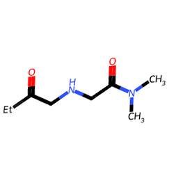 CCC(=O)CNCC(=O)N(C)C